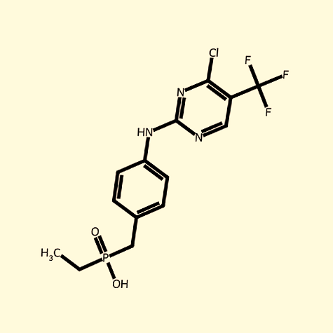 CCP(=O)(O)Cc1ccc(Nc2ncc(C(F)(F)F)c(Cl)n2)cc1